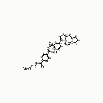 COCCNC(=O)c1ccc(C(=O)Nc2ccc(N3CCC(CN4CCCC4C)C3)cc2C)cn1